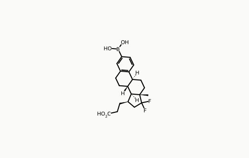 C[C@]12CC[C@@H]3c4ccc(B(O)O)cc4CC[C@H]3[C@@H]1[C@H](CCC(=O)O)CC2(F)F